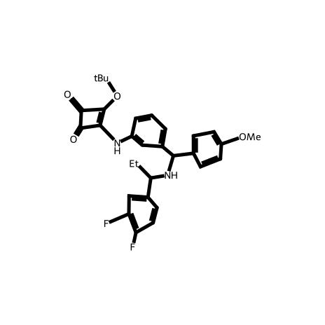 CCC(NC(c1ccc(OC)cc1)c1cccc(Nc2c(OC(C)(C)C)c(=O)c2=O)c1)c1ccc(F)c(F)c1